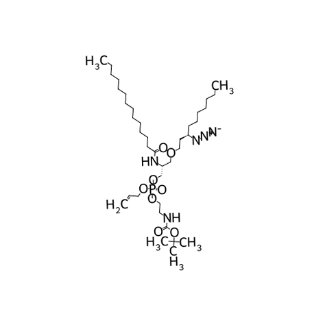 C=CCOP(=O)(OCCNC(=O)OC(C)(C)C)OC[C@@H](COCC[C@@H](CCCCCCC)N=[N+]=[N-])NC(=O)CCCCCCCCCCCCC